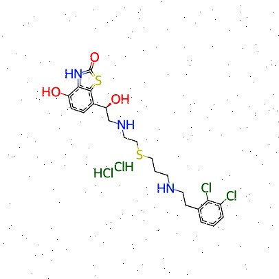 Cl.Cl.O=c1[nH]c2c(O)ccc([C@@H](O)CNCCSCCCNCCc3cccc(Cl)c3Cl)c2s1